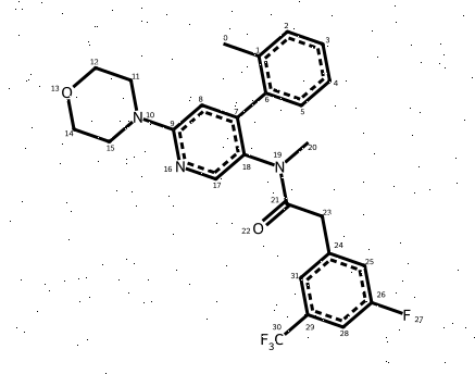 Cc1ccccc1-c1cc(N2CCOCC2)ncc1N(C)C(=O)Cc1cc(F)cc(C(F)(F)F)c1